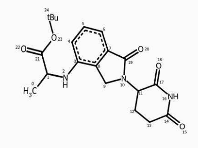 CC(Nc1cccc2c1CN(C1CCC(=O)NC1=O)C2=O)C(=O)OC(C)(C)C